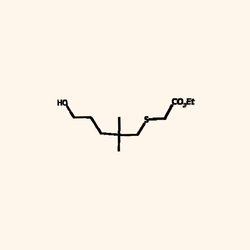 CCOC(=O)CSCC(C)(C)CCCO